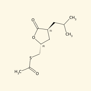 CC(=O)SC[C@H]1C[C@H](CC(C)C)C(=O)O1